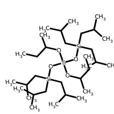 CCC(C)[O][Ti]([O]C(C)CC)([O][Si](CC(C)C)(CC(C)C)CC(C)C)[O][Si](CC(C)C)(CC(C)C)CC(C)C